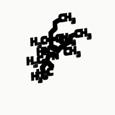 CCCCC(C)(C)c1[nH]c(C(C)(CC)CC)nc1C(C)(C)CCC